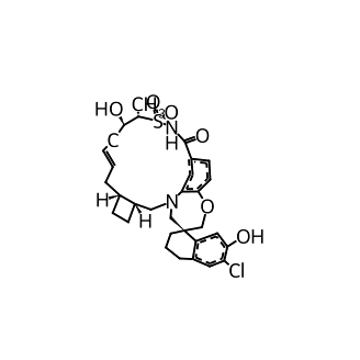 C[C@H]1[C@H](O)C/C=C/C[C@H]2CC[C@H]2CN2C[C@@]3(CCCc4cc(Cl)c(O)cc43)COc3ccc(cc32)C(=O)NS1(=O)=O